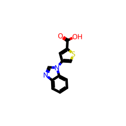 O=C(O)c1cc(-n2cnc3ccccc32)cs1